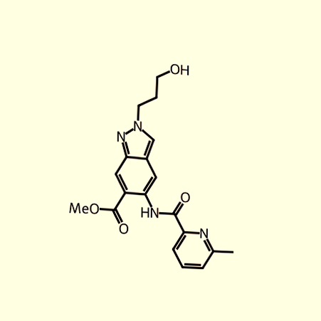 COC(=O)c1cc2nn(CCCO)cc2cc1NC(=O)c1cccc(C)n1